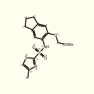 COCOc1cc2c(cc1NS(=O)(=O)c1nc(C)cs1)CCC2